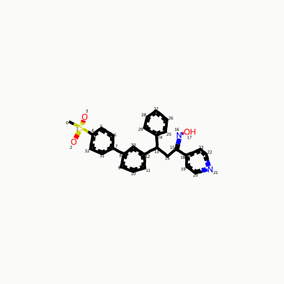 CS(=O)(=O)c1ccc(-c2cccc(C(CC(=NO)c3ccncc3)c3ccccc3)c2)cc1